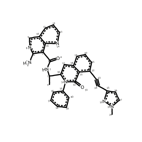 CC(NC(=O)c1c(N)ncc2cccnc12)c1cc2cccc(C#Cc3ccn(C)n3)c2c(=O)n1-c1ccccc1